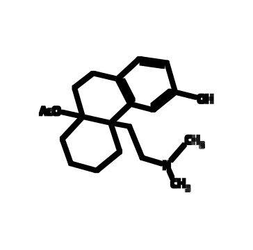 CC(=O)OC12CCCCC1(CCN(C)C)c1cc(O)ccc1CC2